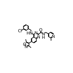 Cc1cc(CNC(=O)c2nc(NCc3cccc(Cl)c3)c3cc(-c4c(C)noc4C)ccc3n2)ccn1